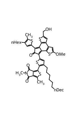 CCCCCCCCCCCCCCCCc1cc(C2=c3c(c4sc(CO)cc4c4cc(OC)sc34)=C(c3cc(CCCCCC)c(C)s3)C2=O)sc1-c1sc(C)c2c1C(=O)N(C)C2=O